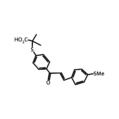 CSc1ccc(C=CC(=O)c2ccc(SC(C)(C)C(=O)O)cc2)cc1